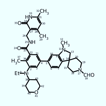 CCN(c1cc(-c2ccc3c(c2)N(C)CC32CCN(C=O)CC2)cc(C(=O)NCc2c(C)cc(C)[nH]c2=O)c1C)C1CCOCC1